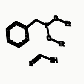 CCOP(Cc1ccccc1)OCC.S=CS